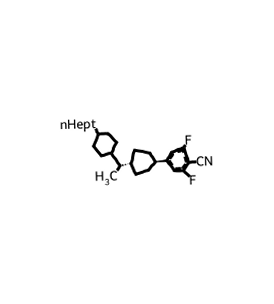 CCCCCCCC1CCC(C(C)[C@H]2CC[C@H](c3cc(F)c(C#N)c(F)c3)CC2)CC1